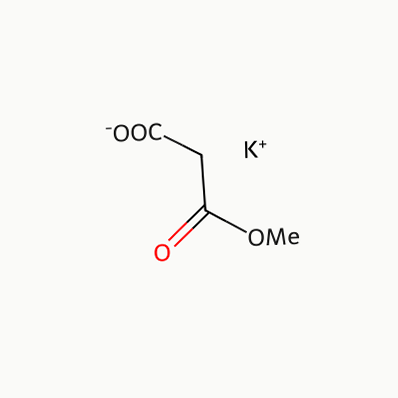 COC(=O)CC(=O)[O-].[K+]